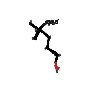 CC(C)(CCCBr)C(=O)O